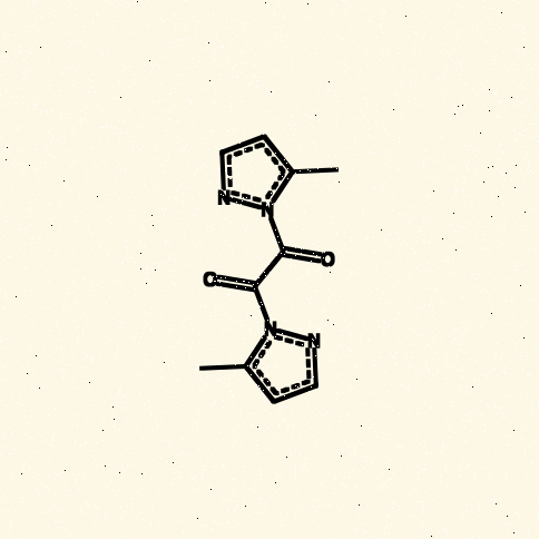 Cc1ccnn1C(=O)C(=O)n1nccc1C